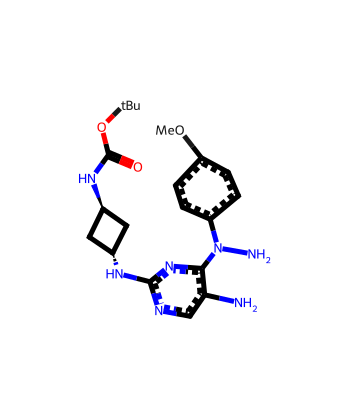 COc1ccc(N(N)c2nc(N[C@H]3C[C@H](NC(=O)OC(C)(C)C)C3)ncc2N)cc1